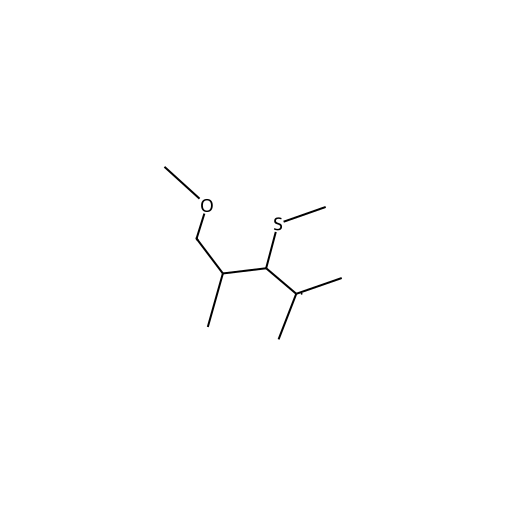 COCC(C)C(SC)[C](C)C